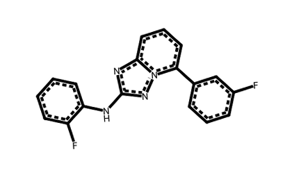 Fc1cccc(-c2cccc3nc(Nc4ccccc4F)nn23)c1